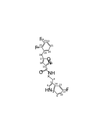 O=C(NCCc1c[nH]c2ccc(F)cc12)c1cc(Cc2cccc(F)c2F)on1